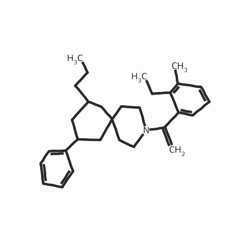 C=C(c1cccc(C)c1CC)N1CCC2(CC1)CC(CCC)CC(c1ccccc1)C2